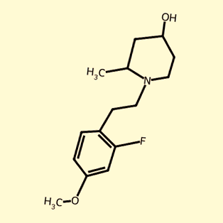 COc1ccc(CCN2CCC(O)CC2C)c(F)c1